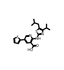 CC(C)Cc1sc(Nc2ncc(-c3cccs3)cc2C(=O)O)nc1C(C)C